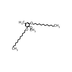 CCCCCCCCCCCCOc1cc(C)cc(OCCCCCCCCCCCC)c1OC